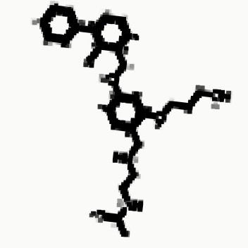 CC(=O)NCCNCc1ccc(OCc2cccc(-c3ccccc3)c2C)cc1OCCCO